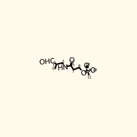 CC(C=O)CNC(=O)CCOS(C)(=O)=O